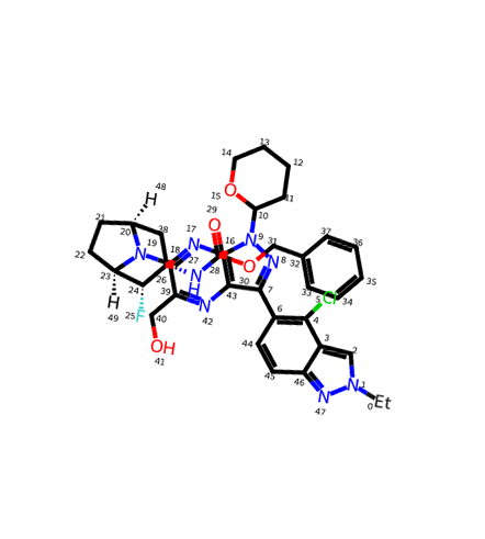 CCn1cc2c(Cl)c(-c3nn(C4CCCCO4)c4nc(N5[C@H]6CC[C@@H]5[C@@H](F)[C@@H](NC(=O)OCc5ccccc5)C6)c(CO)nc34)ccc2n1